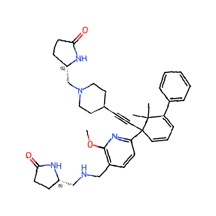 COc1nc(C2(C#CC3CCN(C[C@@H]4CCC(=O)N4)CC3)C=CC=C(c3ccccc3)C2(C)C)ccc1CNC[C@@H]1CCC(=O)N1